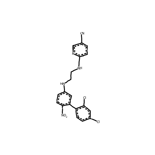 N#Cc1ccc(NCCNc2ccc([N+](=O)[O-])c(-c3ccc(Cl)cc3Cl)c2)nc1